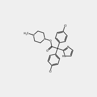 CN1CCN(OC(=O)C(c2ccc(Cl)cc2)(c2ccc(Cl)cc2)c2ncc[nH]2)CC1